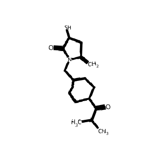 C=C1CC(S)C(=O)N1CC1CCC(C(=O)C(C)C)CC1